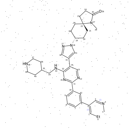 CC/C=C(\C=N/C)c1cccc(-c2ncc(-c3cnn([C@H]4CC[C@]5(CCC(=O)N5C)CC4)c3)c(NCC3CCNCC3)n2)c1